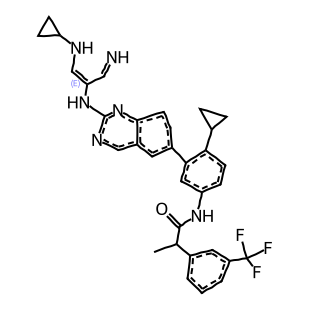 CC(C(=O)Nc1ccc(C2CC2)c(-c2ccc3nc(N/C(C=N)=C/NC4CC4)ncc3c2)c1)c1cccc(C(F)(F)F)c1